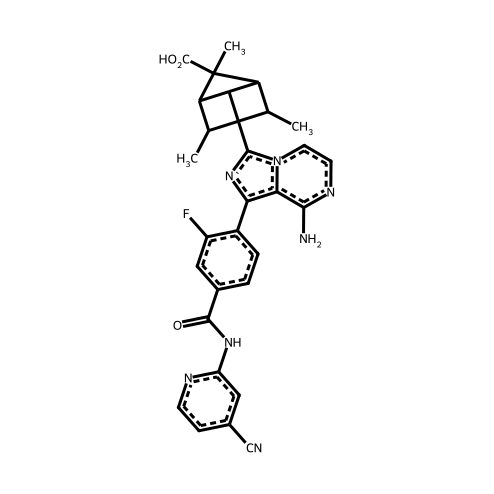 CC1C2C3C(C(C)C13c1nc(-c3ccc(C(=O)Nc4cc(C#N)ccn4)cc3F)c3c(N)nccn13)C2(C)C(=O)O